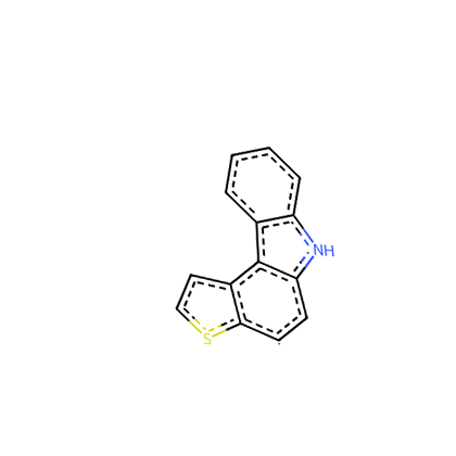 [c]1cc2[nH]c3ccccc3c2c2ccsc12